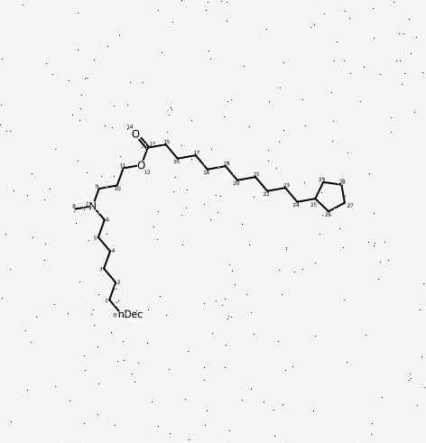 CCCCCCCCCCCCCCCCN(C)CCCOC(=O)CCCCCCCCCCC1CCCC1